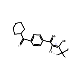 C/C(C(=N)c1ccc(C(=O)C2CCCCC2)cc1)=C(/O)C(F)(F)F